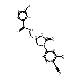 N#Cc1ccc(N2C[C@H](CNC(=O)c3ccc(Cl)s3)OC2=O)cc1Cl